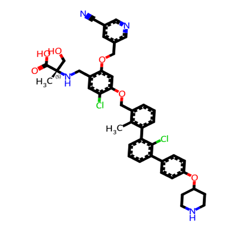 Cc1c(COc2cc(OCc3cncc(C#N)c3)c(CN[C@@](C)(CO)C(=O)O)cc2Cl)cccc1-c1cccc(-c2ccc(OC3CCNCC3)cc2)c1Cl